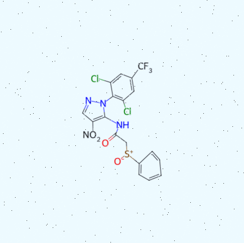 O=C(C[S+]([O-])c1ccccc1)Nc1c([N+](=O)[O-])cnn1-c1c(Cl)cc(C(F)(F)F)cc1Cl